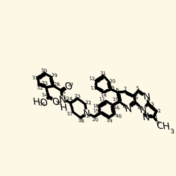 Cc1cc2ncc3cc(-c4ccccc4)c(-c4ccc(CN5CCC(NC(=O)c6ccccc6C(=O)O)CC5)cc4)nc3n2n1